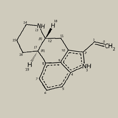 C=Cc1[nH]c2cccc3c2c1C[C@H]1NCCC[C@H]31